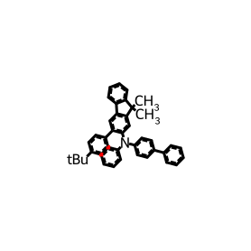 CC(C)(C)c1ccc(-c2cc3c(cc2N(c2ccccc2)c2ccc(-c4ccccc4)cc2)C(C)(C)c2ccccc2-3)cc1